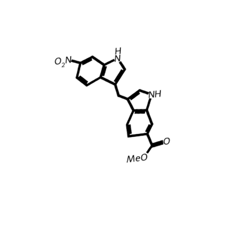 COC(=O)c1ccc2c(Cc3c[nH]c4cc([N+](=O)[O-])ccc34)c[nH]c2c1